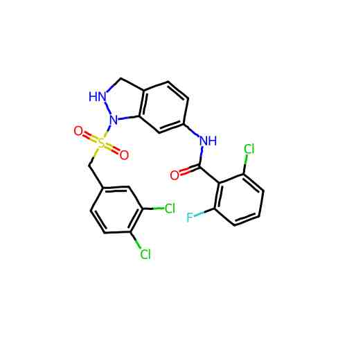 O=C(Nc1ccc2c(c1)N(S(=O)(=O)Cc1ccc(Cl)c(Cl)c1)NC2)c1c(F)cccc1Cl